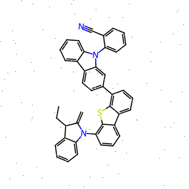 C=C1C(CC)c2ccccc2N1c1cccc2c1sc1c(-c3ccc4c5ccccc5n(-c5ccccc5C#N)c4c3)cccc12